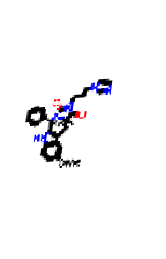 COc1ccc2[nH]c3c(c2c1)C[C@@]1(C)C(=O)N(CCCn2ccnc2)C(=O)N1[C@@H]3c1ccccc1